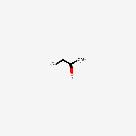 [CH2]CCCC(=O)OC